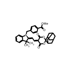 COC(=O)c1ccc(CN2/C(=C/C=C3C(=O)OC4(OC3=O)C3CC5CC(C3)CC4C5)C(C)(C)c3ccccc32)cc1